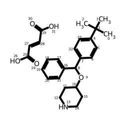 CC(C)(C)c1ccc(C(OC2CCNCC2)c2ccccc2)cc1.O=C(O)/C=C/C(=O)O